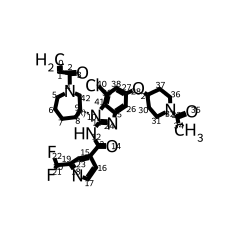 C=CC(=O)N1CCCC[C@@H](n2c(NC(=O)c3ccnc(C(F)F)c3)nc3cc(OC4CCN(C(C)=O)CC4)cc(Cl)c32)C1